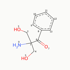 NC(CO)(CO)C(=O)c1ccccc1